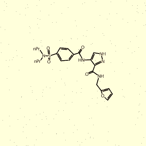 CCCN(CCC)S(=O)(=O)c1ccc(C(=O)Nc2c[nH]nc2C(=O)NCc2ccco2)cc1